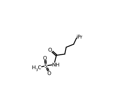 CC(C)CCCC(=O)NS(C)(=O)=O